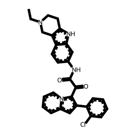 CCN1CCc2[nH]c3cc(NC(=O)C(=O)c4c(-c5ccccc5Cl)cc5ccccn45)ccc3c2C1